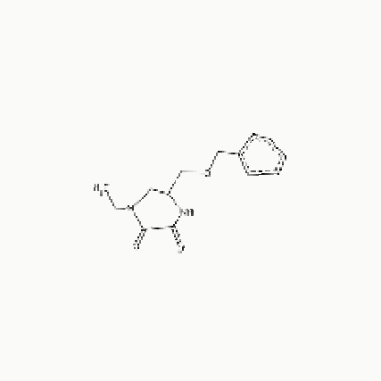 CCN1CC(COCc2ccccc2)NC(=O)C1=O